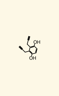 C#CCc1c(O)ccc(O)c1CC#C